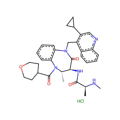 CN[C@@H](C)C(=O)N[C@@H]1C(=O)N(Cc2c(C3CC3)cnc3ccccc23)c2ccccc2N(C(=O)C2CCOCC2)[C@H]1C.Cl